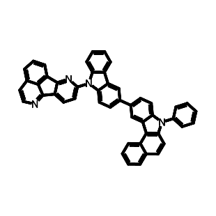 c1ccc(-n2c3ccc(-c4ccc5c(c4)c4ccccc4n5-c4ccc5c(n4)-c4cccc6ccnc-5c46)cc3c3c4ccccc4ccc32)cc1